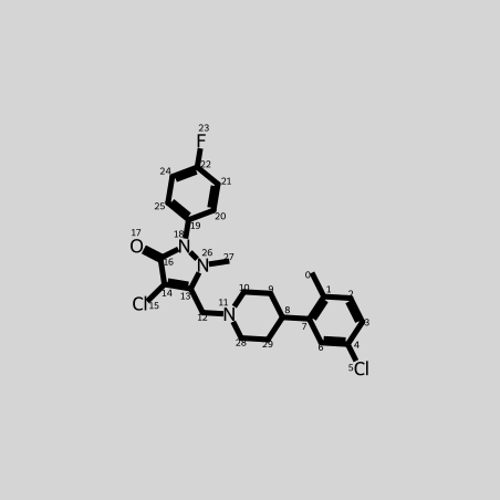 Cc1ccc(Cl)cc1C1CCN(Cc2c(Cl)c(=O)n(-c3ccc(F)cc3)n2C)CC1